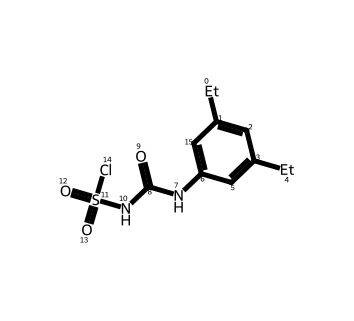 CCc1cc(CC)cc(NC(=O)NS(=O)(=O)Cl)c1